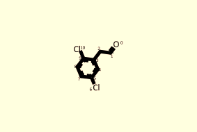 O=[C]Cc1cc(Cl)ccc1Cl